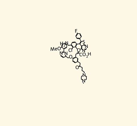 COc1ccccc1-c1nccc(COc2ccc(CC(=O)CCCN3CCN(C)CC3)cc2C[C@@H](Oc2ncnc3sc(-c4ccc(F)cc4)c(-c4ccc(CN)c(Cl)c4C)c23)C(=O)O)n1